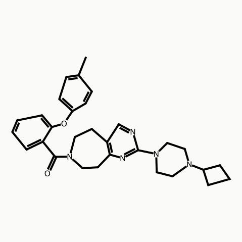 Cc1ccc(Oc2ccccc2C(=O)N2CCc3cnc(N4CCN(C5CCC5)CC4)nc3CC2)cc1